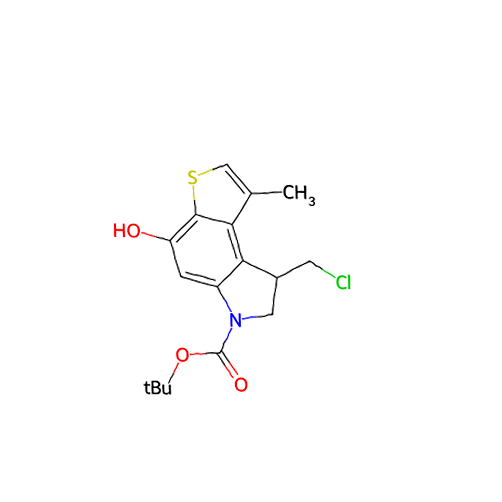 Cc1csc2c(O)cc3c(c12)C(CCl)CN3C(=O)OC(C)(C)C